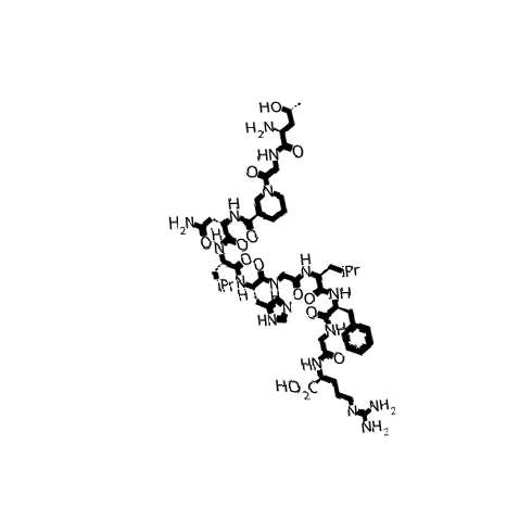 CC(C)C[C@H](NC(=O)CNC(=O)[C@H](Cc1cnc[nH]1)NC(=O)[C@H](CC(C)C)NC(=O)[C@H](CC(N)=O)NC(=O)[C@@H]1CCCN(C(=O)CNC(=O)[C@@H](N)C[C@@H](C)O)C1)C(=O)N[C@@H](Cc1ccccc1)C(=O)NCC(=O)N[C@@H](CCCN=C(N)N)C(=O)O